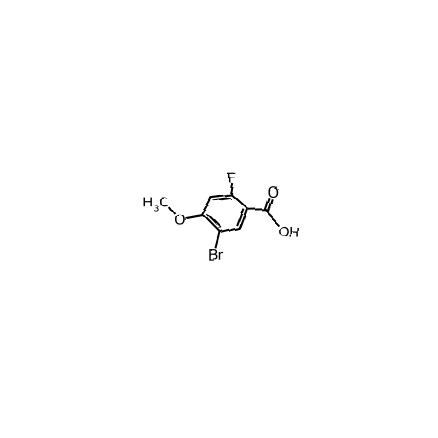 COc1cc(F)c(C(=O)O)cc1Br